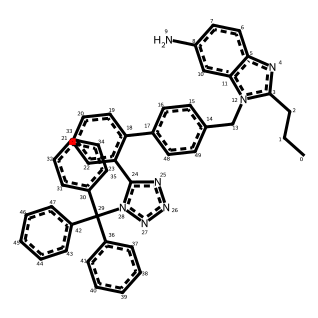 CCCc1nc2ccc(N)cc2n1Cc1ccc(-c2ccccc2-c2nnnn2C(c2ccccc2)(c2ccccc2)c2ccccc2)cc1